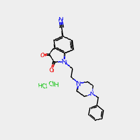 Cl.Cl.N#Cc1ccc2c(c1)C(=O)C(=O)N2CCN1CCN(Cc2ccccc2)CC1